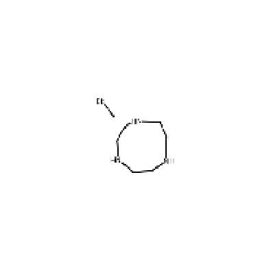 C1CNCCNCCN1.CCC